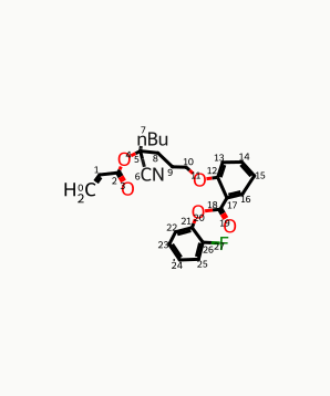 C=CC(=O)OC(C#N)(CCCC)CCCOc1ccccc1C(=O)Oc1cc[c]cc1F